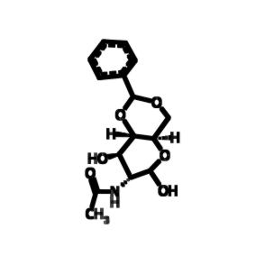 CC(=O)N[C@H]1C(O)O[C@@H]2COC(c3ccccc3)O[C@H]2[C@@H]1O